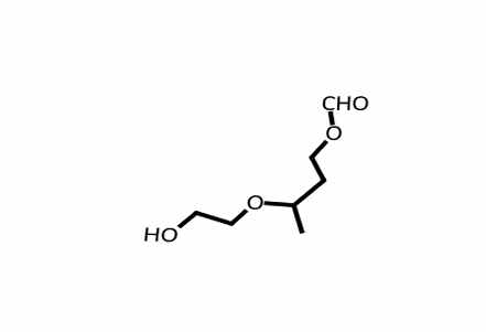 CC(CCOC=O)OCCO